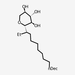 CCCCCCCCCCCCCCCCCC(CC)[C@@H]1OC[C@@H](O)[C@H](O)[C@H]1O